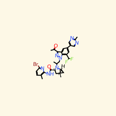 CC(=O)c1nn(CC(C)N2[C@H](C(=O)Nc3nc(Br)ccc3C)C[C@@]3(C)C[C@@H]23)c2c(C(F)F)cc(-c3cnc(C)nc3)cc12